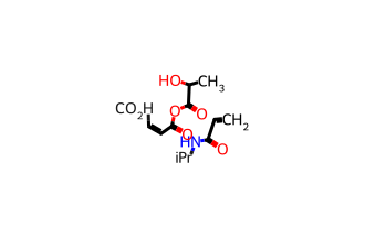 C=CC(=O)NC(C)C.CC(O)C(=O)OC(=O)/C=C\C(=O)O